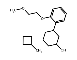 CC1CCC1.COCCOc1ccccc1C1CCCC(O)C1